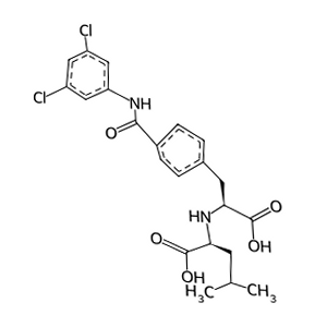 CC(C)C[C@H](N[C@@H](Cc1ccc(C(=O)Nc2cc(Cl)cc(Cl)c2)cc1)C(=O)O)C(=O)O